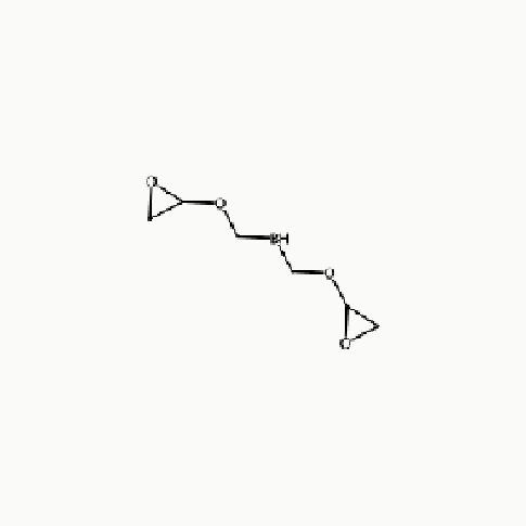 B(COC1CO1)COC1CO1